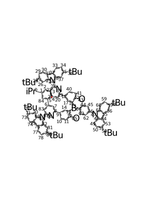 CC(C)c1cccc(-c2cc(-c3ccc4c(c3)B3c5cc(-c6cccc(-n7c8cc(C(C)(C)C)ccc8c8ccc(C(C)(C)C)cc87)n6)ccc5Oc5cc(-n6c7ccc(C(C)(C)C)cc7c7cc(C(C)(C)C)ccc76)cc(c53)O4)nc(-n3c4cc(C(C)(C)C)ccc4c4ccc(C(C)(C)C)cc43)c2)c1